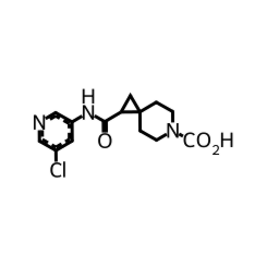 O=C(Nc1cncc(Cl)c1)C1CC12CCN(C(=O)O)CC2